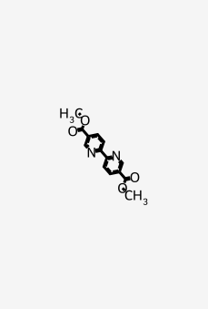 COC(=O)c1ccc(-c2ccc(C(=O)OC)cn2)nc1